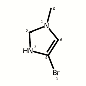 CN1[CH]NC(Br)=C1